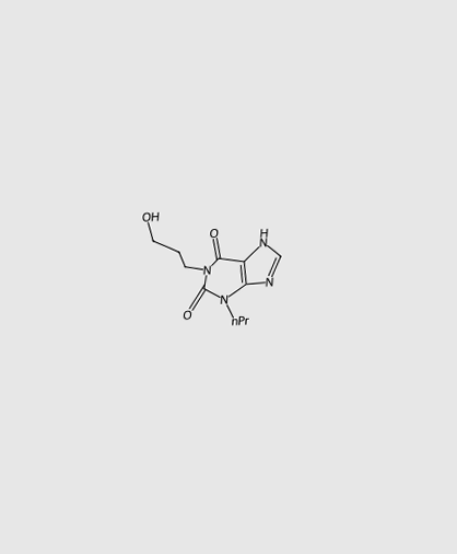 CCCn1c(=O)n(CCCO)c(=O)c2[nH]cnc21